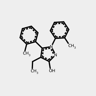 CCc1c(O)nn(-c2ccccc2C)c1-c1ccccc1C